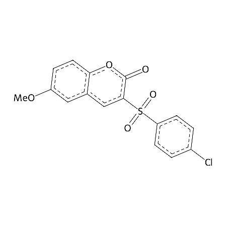 COc1ccc2oc(=O)c(S(=O)(=O)c3ccc(Cl)cc3)cc2c1